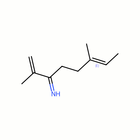 C=C(C)C(=N)CC/C(C)=C/C